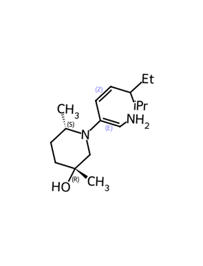 CCC(/C=C\C(=C/N)N1C[C@](C)(O)CC[C@@H]1C)C(C)C